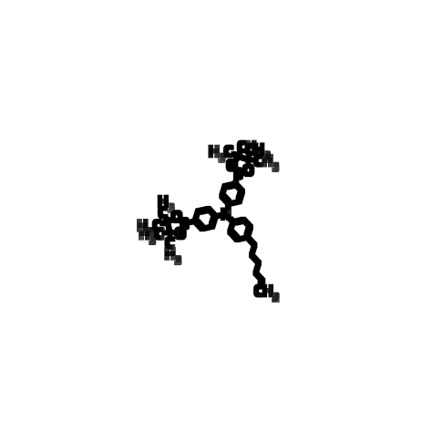 C=CCCCCc1ccc(N(c2ccc(B3OC(C)(C)C(C)(C)O3)cc2)c2ccc(B3OC(C)(C)C(C)(C)O3)cc2)cc1